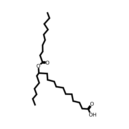 CCCCCCCCCC(=O)OC(CCCCCC)CCCCCCCCCCC(=O)O